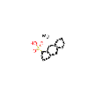 O=S(=O)(O)c1cccc2cc3ccccc3cc12.[Mg]